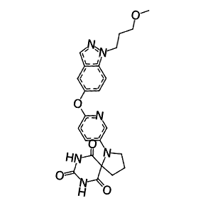 COCCCn1ncc2cc(Oc3ccc(N4CCCC45C(=O)NC(=O)NC5=O)cn3)ccc21